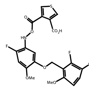 COc1cc(F)c(NOC(=O)c2cscc2C(=O)O)cc1OCc1c(OC)ccc(F)c1F